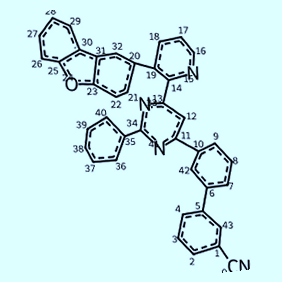 N#Cc1cccc(-c2cccc(-c3cc(-c4ncccc4-c4ccc5oc6ccccc6c5c4)nc(-c4ccccc4)n3)c2)c1